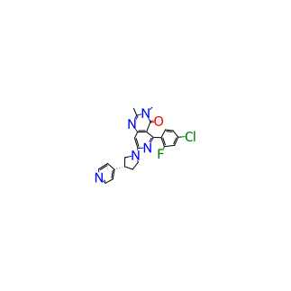 Cc1nc2cc(N3CC[C@H](c4ccncc4)C3)nc(-c3ccc(Cl)cc3F)c2c(=O)n1C